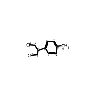 Cc1ccc(C(CCl)CCl)cc1